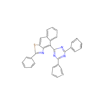 c1ccc(-c2nc(-c3ccccc3)nc(-c3c4ccccc4cc4sc(-c5ccccc5)nc34)n2)cc1